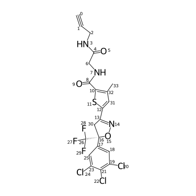 C#CCNC(=O)CNC(=O)c1sc(C2=NO[C@](c3cc(Cl)c(Cl)c(Cl)c3)(C(F)(F)F)C2)cc1C